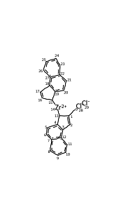 CC1=Cc2c(ccc3ccccc23)[CH]1[Zr+2][CH]1C=Cc2c1ccc1ccccc21.[Cl-].[Cl-]